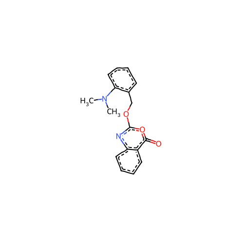 CN(C)c1ccccc1COc1nc2ccccc2c(=O)o1